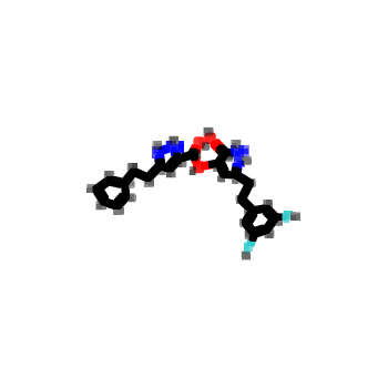 O=C(Oc1cc(CCc2cc(F)cc(F)c2)n[nH]c1=O)c1cc(CCc2ccccc2)n[nH]1